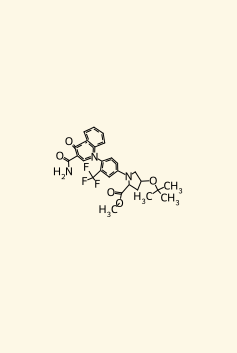 COC(=O)C1CC(OC(C)(C)C)CN1c1ccc(-n2cc(C(N)=O)c(=O)c3ccccc32)c(C(F)(F)F)c1